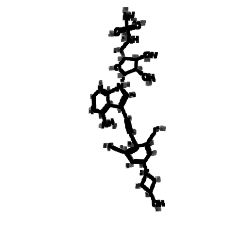 Nc1ncnc2c1c(C#Cc1c(F)cc(N3CC(O)C3)cc1F)cn2[C@@H]1O[C@H](CNS(N)(=O)=O)[C@@H](O)[C@H]1O